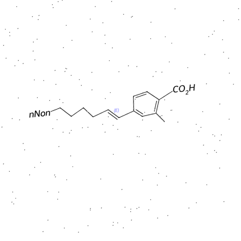 CCCCCCCCCCCCC/C=C/c1ccc(C(=O)O)c(C)c1